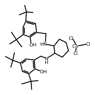 CC(C)(C)c1cc(CNC2CCCCC2NCc2cc(C(C)(C)C)cc(C(C)(C)C)c2O)c(O)c(C(C)(C)C)c1.[Cl][Co]([Cl])[Cl]